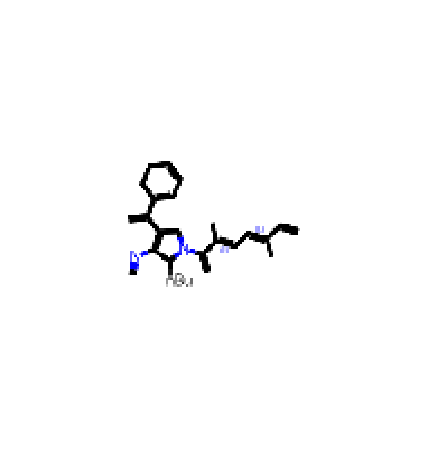 C=C/C(C)=C/C=C(\C)C(=C)N1CC(C(=C)C2=CC=CCC2)=C(N=C)C1CCCC